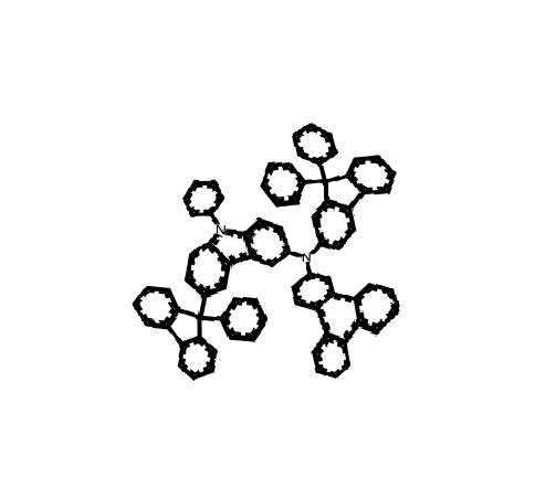 c1ccc(-n2c3ccc(N(c4ccc5c(c4)C(c4ccccc4)(c4ccccc4)c4ccccc4-5)c4ccc5c6ccccc6c6ccccc6c5c4)cc3c3cc(C4(c5ccccc5)c5ccccc5-c5ccccc54)ccc32)cc1